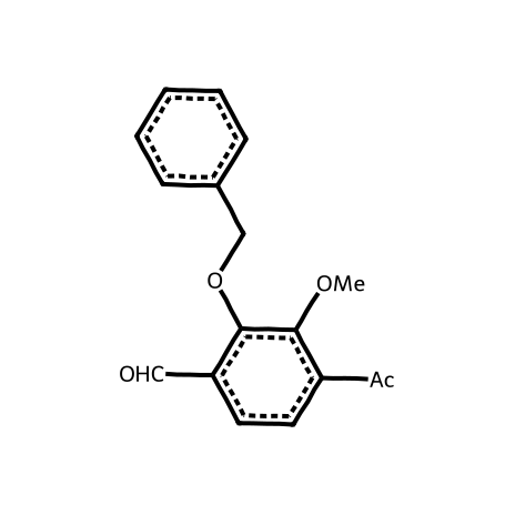 COc1c(C(C)=O)ccc(C=O)c1OCc1ccccc1